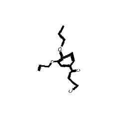 CCCOc1ccc(C(=O)CC=O)cc1OCCC